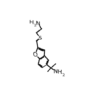 CC(C)(N)c1ccc2oc(CSCCN)cc2c1